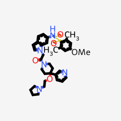 COc1cc(C)c(S(=O)(=O)Nc2ccc3ccn(CC(=O)N4CCC(OCCN5CCCC5)(c5cccnc5)CC4)c3c2)c(C)c1